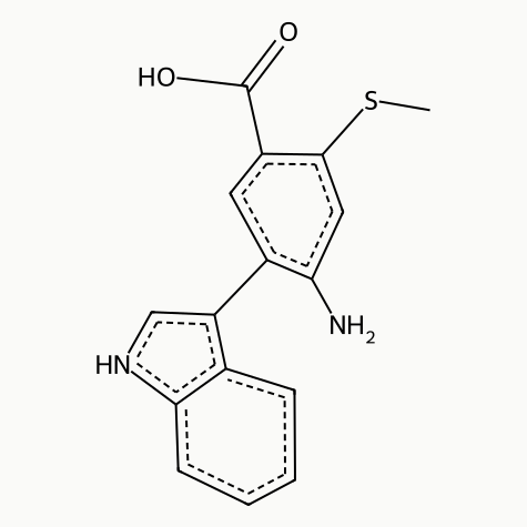 CSc1cc(N)c(-c2c[nH]c3ccccc23)cc1C(=O)O